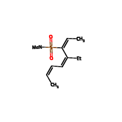 C\C=C/C=C(CC)\C(=C/C)S(=O)(=O)NC